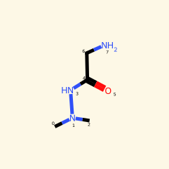 CN(C)NC(=O)CN